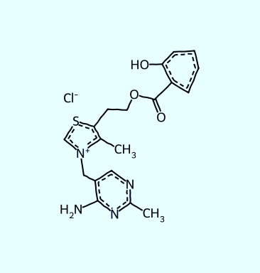 Cc1ncc(C[n+]2csc(CCOC(=O)c3ccccc3O)c2C)c(N)n1.[Cl-]